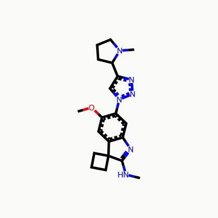 CNC1=Nc2cc(-n3cc(C4CCCN4C)nn3)c(OC)cc2C12CCC2